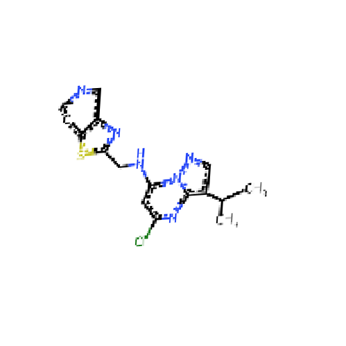 CC(C)c1cnn2c(NCc3nc4cnccc4s3)cc(Cl)nc12